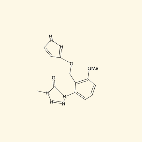 COc1cccc(-n2nnn(C)c2=O)c1COc1cc[nH]n1